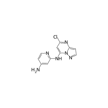 Nc1ccnc(Nc2cc(Cl)nc3ccnn23)c1